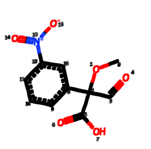 COC(C=O)(C(=O)O)c1cccc([N+](=O)[O-])c1